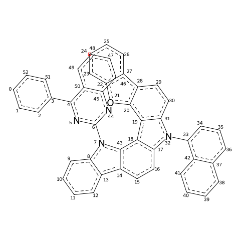 c1ccc(-c2nc(-n3c4ccccc4c4ccc5c(c6c7oc8ccccc8c7ccc6n5-c5cccc6ccccc56)c43)nc3ccccc23)cc1